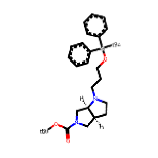 CC(C)(C)OC(=O)N1C[C@@H]2CCN(CCCO[Si](c3ccccc3)(c3ccccc3)C(C)(C)C)[C@@H]2C1